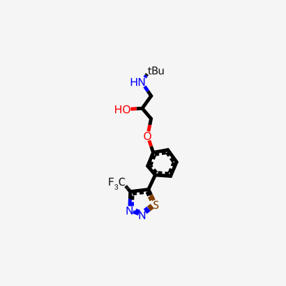 CC(C)(C)NCC(O)COc1cccc(-c2snnc2C(F)(F)F)c1